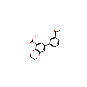 CC(=O)c1cccc(-c2cc3c(c(C(=O)O)c2)OCCO3)c1